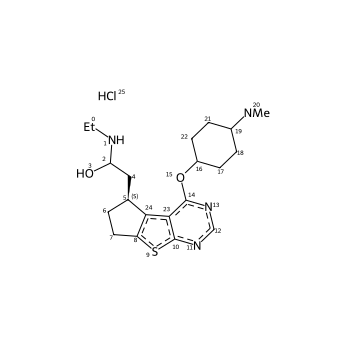 CCNC(O)C[C@@H]1CCc2sc3ncnc(OC4CCC(NC)CC4)c3c21.Cl